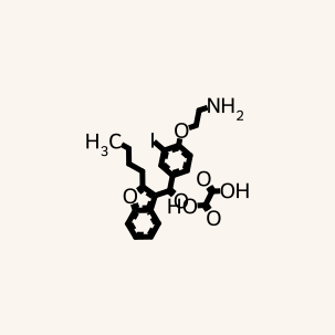 CCCCc1oc2ccccc2c1C(=O)c1ccc(OCCN)c(I)c1.O=C(O)C(=O)O